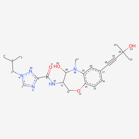 CC(C)Cn1cnc(C(=O)NC2COc3ccc(C#CC(C)(C)O)cc3N(C)C2O)n1